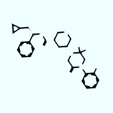 CC1(C)CN(c2ccccc2Cl)C(=O)CN1[C@H]1CNC[C@@H](C(=O)N[C@H](CC2CC2)c2ccccc2)C1